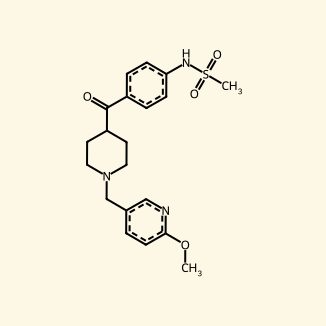 COc1ccc(CN2CCC(C(=O)c3ccc(NS(C)(=O)=O)cc3)CC2)cn1